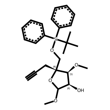 C#CC[C@]1(CO[Si](c2ccccc2)(c2ccccc2)C(C)(C)C)OC(OC)[C@H](O)[C@@H]1OC